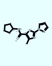 Cc1nc(-n2cccn2)sc1C(=O)NC1CCCC1